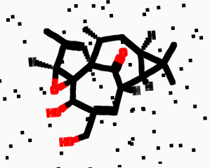 CC1=C[C@]23C(=O)[C@@H](C=C(CO)[C@@H](O)[C@@]24O[C@@H]14)[C@H]1[C@@H](C[C@H]3C)C1(C)C